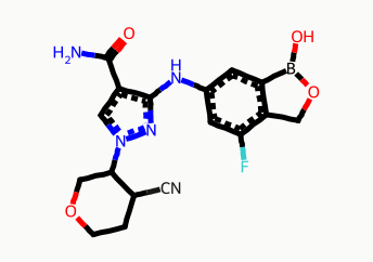 N#CC1CCOCC1n1cc(C(N)=O)c(Nc2cc(F)c3c(c2)B(O)OC3)n1